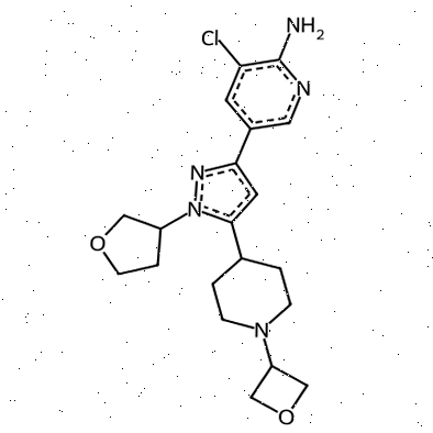 Nc1ncc(-c2cc(C3CCN(C4COC4)CC3)n(C3CCOC3)n2)cc1Cl